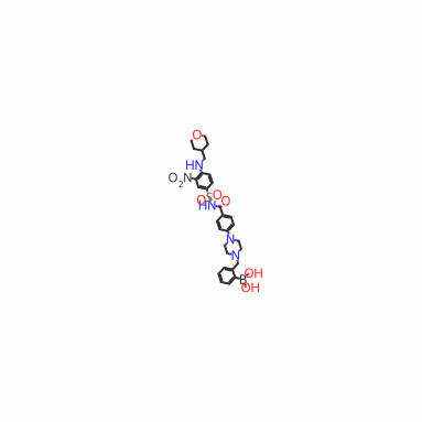 O=C(NS(=O)(=O)c1ccc(NCC2CCOCC2)c([N+](=O)[O-])c1)c1ccc(N2CCN(Cc3ccccc3B(O)O)CC2)cc1